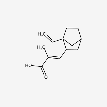 C=CC12CCC(CC1C=C(C)C(=O)O)C2